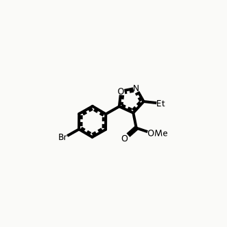 CCc1noc(-c2ccc(Br)cc2)c1C(=O)OC